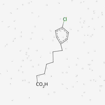 O=C(O)CCCCCCc1ccc(Cl)cc1